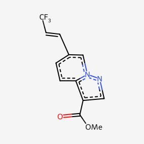 COC(=O)c1cnn2cc(/C=C/C(F)(F)F)ccc12